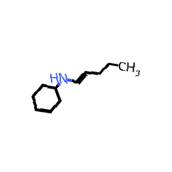 CCCC=CNC1CCCCC1